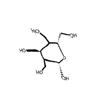 OC[C@@H]1O[C@H](O)C(O)[C@@H](O)C1O